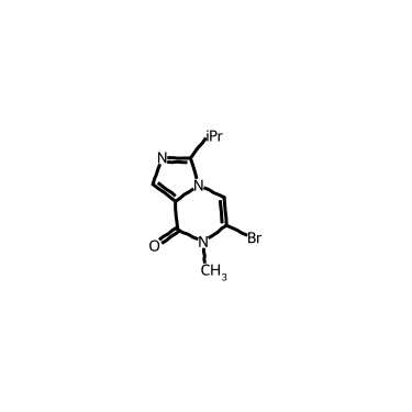 CC(C)c1ncc2c(=O)n(C)c(Br)cn12